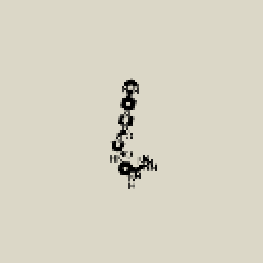 O=C(Nc1ccc2[nH]nc(-c3nnn[nH]3)c2c1)[C@@H]1CCN(CC(=O)N2CCN(c3ccc(-c4ncccn4)cc3)CC2)C1